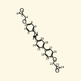 c1cc(OCC2CO2)ccc1/N=N/c1ccc(-c2ccc(OCC3CO3)cc2)cc1